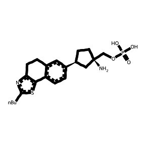 CCCCc1nc2c(s1)-c1ccc([C@H]3CC[C@](N)(COP(=O)(O)O)C3)cc1CC2